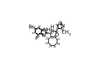 Cc1nocc1C(=O)NC(c1nc2c(F)cc(Br)cc2[nH]1)C1CCCCCCC1